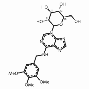 COc1cc(CNc2ncn(C3O[C@H](CO)[C@@H](O)[C@H](O)[C@H]3O)c3ncnc2-3)cc(OC)c1OC